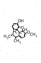 COC1=CC=C2[C@@H](C)N(C)C3C[C@@]24c2c3ccc(O)c2O[C@@H]14